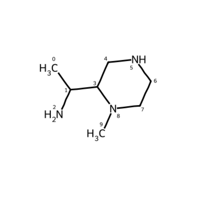 CC(N)C1CNCCN1C